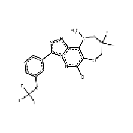 CN1CC(F)(F)COc2c(Cl)nn3c(-c4cccc(OC(F)(F)F)c4)nnc3c21